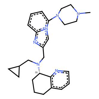 CN1CCN(c2cccc3nc(CN(CC4CC4)[C@H]4CCCc5cccnc54)cn23)CC1